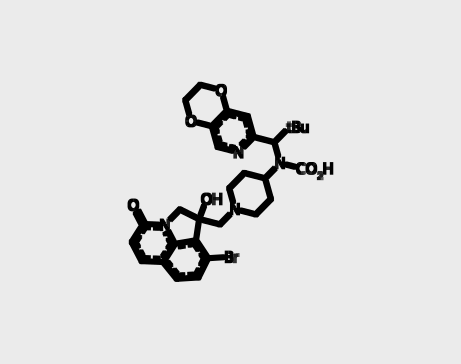 CC(C)(C)C(c1cc2c(cn1)OCCO2)N(C(=O)O)C1CCN(CC2(O)Cn3c(=O)ccc4ccc(Br)c2c43)CC1